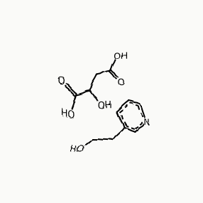 O=C(O)CC(O)C(=O)O.OCCc1cccnc1